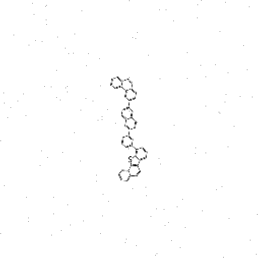 c1cc(-c2ccc3cc(-c4ccc5ccc6ccccc6c5c4)ccc3c2)cc(-c2cccc3c2sc2c4ccccc4ccc32)c1